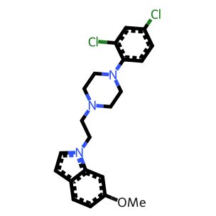 COc1ccc2ccn(CCN3CCN(c4ccc(Cl)cc4Cl)CC3)c2c1